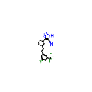 N#Cc1[nH]nnc1-c1cccc(CCc2cc(F)cc(C(F)(F)F)c2)c1